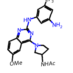 COc1ccc2nc(Nc3cc(N)cc(C(F)(F)F)c3)nc(N3CCC(NC(C)=O)C3)c2c1